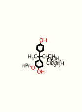 C=CC(=O)O.C=CC(=O)O.CCCOc1cc(C(C)(C)c2ccc(O)cc2)ccc1O